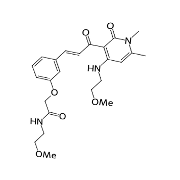 COCCNC(=O)COc1cccc(/C=C/C(=O)c2c(NCCOC)cc(C)n(C)c2=O)c1